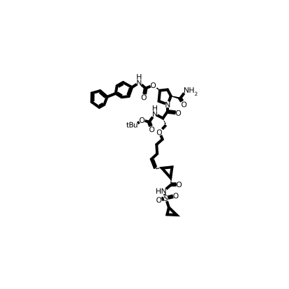 CC(C)(C)OC(=O)N[C@@H](COCCC/C=C\[C@@H]1C[C@@H]1C(=O)NS(=O)(=O)C1CC1)C(=O)N1C[C@H](OC(=O)Nc2ccc(-c3ccccc3)cc2)C[C@H]1C(N)=O